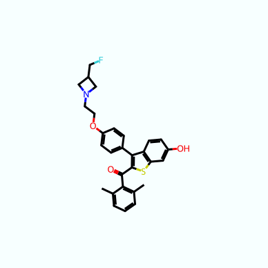 Cc1cccc(C)c1C(=O)c1sc2cc(O)ccc2c1-c1ccc(OCCN2CC(CF)C2)cc1